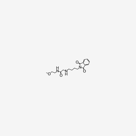 COCCNC(=O)CNCCCCN1C(=O)c2ccccc2C1=O